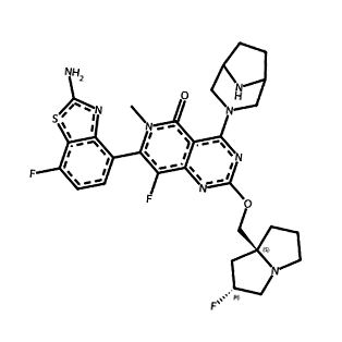 Cn1c(-c2ccc(F)c3sc(N)nc23)c(F)c2nc(OC[C@@]34CCCN3C[C@H](F)C4)nc(N3CC4CCC(C3)N4)c2c1=O